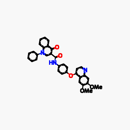 COc1cc2nccc(Oc3ccc(NC(=O)c4cn(-c5ccccc5)c5ccccc5c4=O)cc3)c2cc1OC